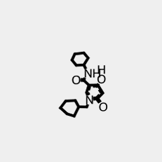 O=C(NC1CCCCC1)c1cn(CC2CCCCC2)c(=O)cc1O